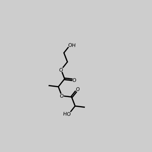 CC(O)C(=O)OC(C)C(=O)OCCO